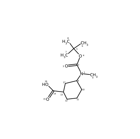 CN(C(=O)OC(C)(C)C)C1CCCC(C(=O)O)C1